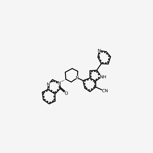 N#Cc1ccc(N2CCC[C@@H](n3cnc4ccccc4c3=O)C2)c2cc(-c3cccnc3)[nH]c12